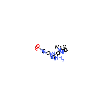 COc1ccccc1Cc1nc2cc(-c3nn([C@H]4CC[C@H](N5CCN(CCC6OCCO6)CC5)CC4)c4ncnc(N)c34)ccc2[nH]1